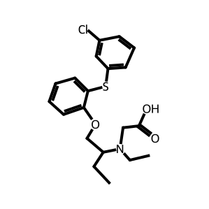 CCC(COc1ccccc1Sc1cccc(Cl)c1)N(CC)CC(=O)O